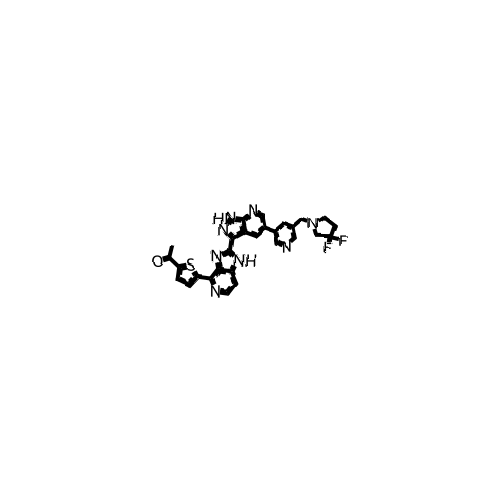 CC(=O)c1ccc(-c2nccc3[nH]c(-c4n[nH]c5ncc(-c6cncc(CN7CCC(F)(F)C7)c6)cc45)nc23)s1